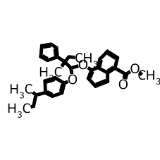 CCC(C)c1ccc(OC(Oc2cccc3c(C(=O)OC)cccc23)C(C)(CC)c2ccccc2)cc1